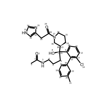 CC(=O)NCCC[C@@](O)(c1cccc(Cl)c1-c1cccc(C)c1)[C@@H]1CCCN(C(=O)Cc2c[nH]cn2)C1